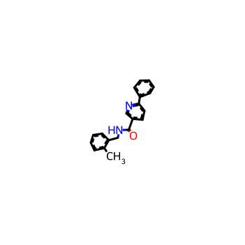 Cc1ccccc1CNC(=O)c1ccc(-c2ccccc2)nc1